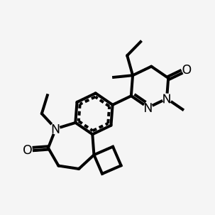 CCN1C(=O)CCC2(CCC2)c2cc(C3=NN(C)C(=O)CC3(C)CC)ccc21